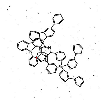 c1ccc(-c2cccc([Si](c3cccc(-c4ccccc4)c3)(c3cccc(-c4ccccc4)c3)c3cccc(C4N=C(n5c6ccccc6c6cc(-c7ccccc7)ccc65)N=C(c5ccccc5-n5c6ccccc6c6ccccc65)N4)c3)c2)cc1